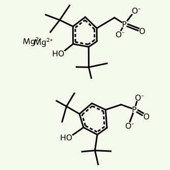 CC(C)(C)c1cc(CP(=O)([O-])[O-])cc(C(C)(C)C)c1O.CC(C)(C)c1cc(CP(=O)([O-])[O-])cc(C(C)(C)C)c1O.[Mg+2].[Mg+2]